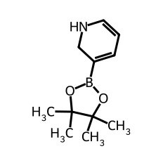 CC1(C)OB(C2=CC=CNC2)OC1(C)C